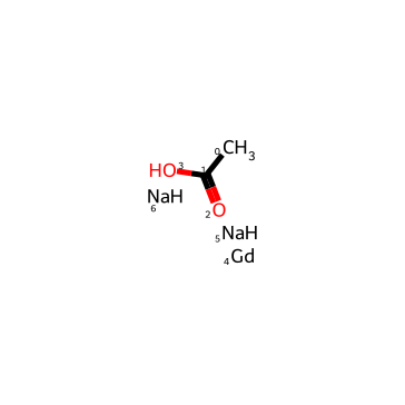 CC(=O)O.[Gd].[NaH].[NaH]